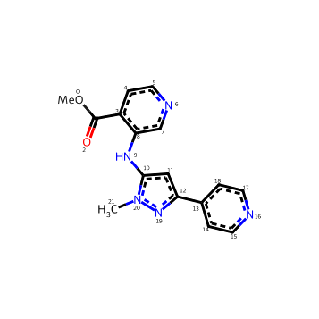 COC(=O)c1ccncc1Nc1cc(-c2ccncc2)nn1C